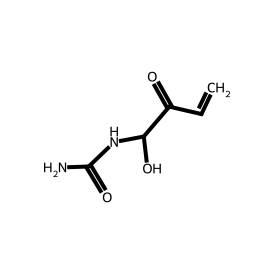 C=CC(=O)C(O)NC(N)=O